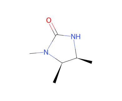 C[C@@H]1NC(=O)N(C)[C@@H]1C